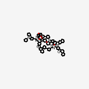 c1ccc(-c2cccc(-c3nc(-c4cc5oc6c7ccccc7ccc6c5cc4-n4c5ccccc5c5cc6ccccc6cc54)nc(-c4cccc5c4c4ccccc4n5-c4cccc(-c5ccc6c(-c7nc(-c8ccc9c(c8)c8ccccc8n9-c8ccccc8)nc(-c8cc9oc%10cc%11ccccc%11cc%10c9cc8-n8c9ccccc9c9cc%10ccccc%10cc98)n7)cccc6c5)c4)n3)c2)cc1